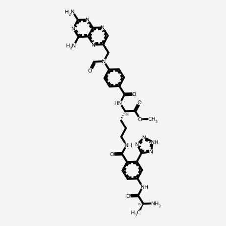 COC(=O)[C@H](CCCNC(=O)c1ccc(NC(=O)[C@H](C)N)cc1-c1nn[nH]n1)NC(=O)c1ccc(N(C=O)Cc2cnc3nc(N)nc(N)c3n2)cc1